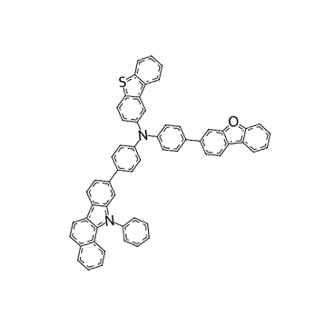 c1ccc(-n2c3cc(-c4ccc(N(c5ccc(-c6ccc7c(c6)oc6ccccc67)cc5)c5ccc6sc7ccccc7c6c5)cc4)ccc3c3ccc4ccccc4c32)cc1